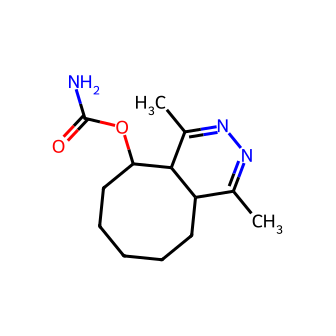 CC1=NN=C(C)C2C(OC(N)=O)CCCCCC12